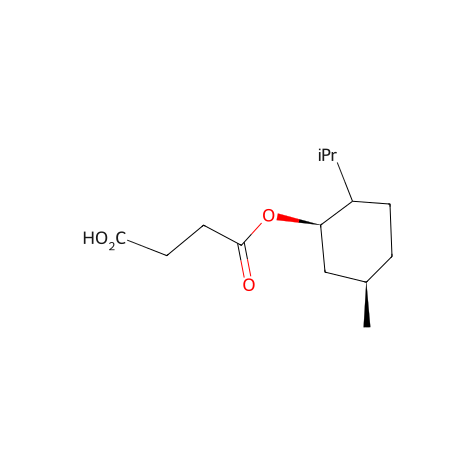 CC(C)C1CC[C@@H](C)C[C@H]1OC(=O)CCC(=O)O